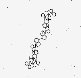 COC(=O)NC(C(=O)N1CCc2nc(C(=O)N3CCc4c(-c5cccc6c5CCN6C(=O)c5ccc6c(n5)CCN(C(=O)C(NC(=O)OC)C(C)C)C6)cccc43)ccc2C1)C(C)C